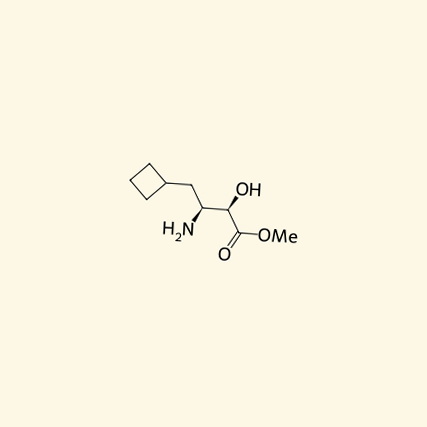 COC(=O)[C@H](O)[C@@H](N)CC1CCC1